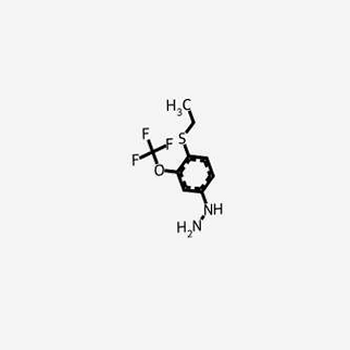 CCSc1ccc(NN)cc1OC(F)(F)F